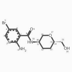 Nc1ncc(Br)cc1C(=O)N[C@@H]1CC[C@@H](CO)OC1